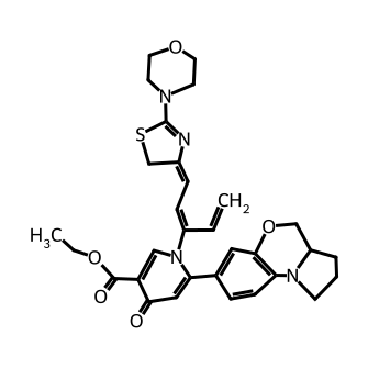 C=C/C(=C\C=C1/CSC(N2CCOCC2)=N1)n1cc(C(=O)OCC)c(=O)cc1-c1ccc2c(c1)OCC1CCCN21